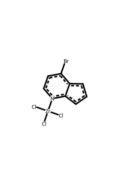 [Cl][Zr]([Cl])([Cl])[n]1ccc(Br)c2cccc1-2